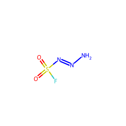 NN=NS(=O)(=O)F